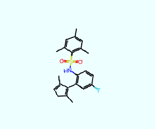 CC1=CCC(C)=C1c1cc(F)ccc1NS(=O)(=O)c1c(C)cc(C)cc1C